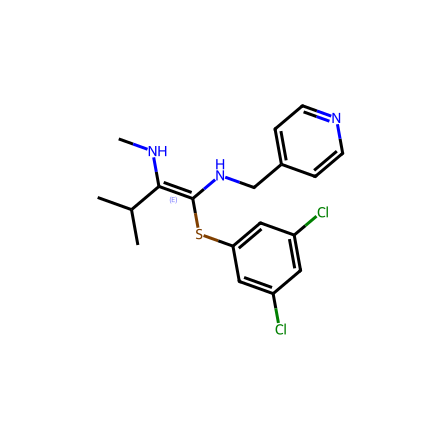 CN/C(=C(\NCc1ccncc1)Sc1cc(Cl)cc(Cl)c1)C(C)C